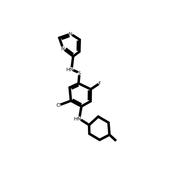 CC1CCC(Nc2cc(F)c(SNc3ccncn3)cc2Cl)CC1